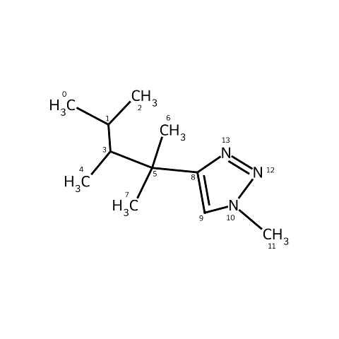 CC(C)C(C)C(C)(C)c1cn(C)nn1